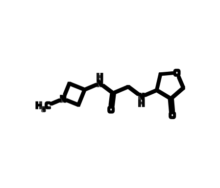 CN1CC(NC(=O)CNC2COCC2=O)C1